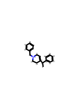 CC(C1=CCN(Cc2ccccc2)CC1)c1ccccc1